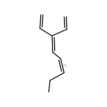 C=CC(C=C)=C/C=C\CC